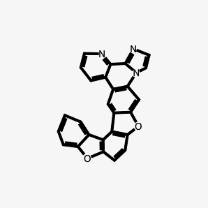 c1ccc2c(c1)oc1ccc3oc4cc5c(cc4c3c12)c1cccnc1c1nccn51